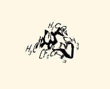 Cc1noc(C)c1-c1cnc2c(-c3cn(C)nc3C3CC3)c(C(F)(F)F)n(C(C)c3ccccn3)c2c1